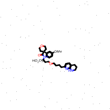 COc1cccc(C2(C(=O)N[C@@H](CCOCCCCc3ccc4c(n3)NCCC4)C(=O)O)CCOCC2)c1